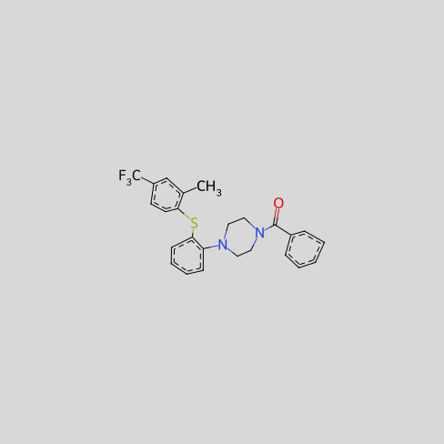 Cc1cc(C(F)(F)F)ccc1Sc1ccccc1N1CCN(C(=O)c2ccccc2)CC1